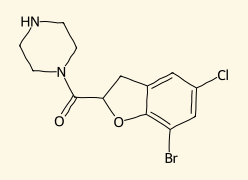 O=C(C1Cc2cc(Cl)cc(Br)c2O1)N1CCNCC1